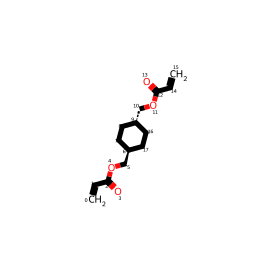 C=CC(=O)OC[C@H]1CC[C@H](COC(=O)C=C)CC1